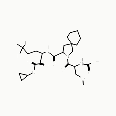 COCC(NC(=O)O)C(=O)N1CC2(CCCCC2)CC1C(=O)NC(CCC(C)(F)F)C(=O)C(=O)NC1CC1